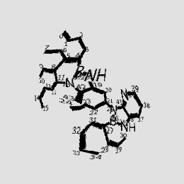 C=C/C=C\C1=C(C=C)C(=C/C)/C(=C\C=C/C)N2B1N/C(=C/C(=C\C=C)N1B(C(/C=C\C)=C/C=C\C)Nc3cccnc31)C2=C